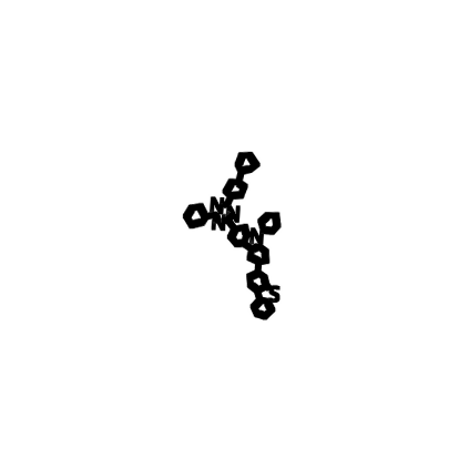 c1ccc(-c2ccc(-c3nc(-c4ccccc4)nc(-c4ccc5c6cc(-c7ccc8c(c7)sc7ccccc78)ccc6n(-c6ccccc6)c5c4)n3)cc2)cc1